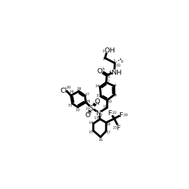 C[C@@H](CO)NC(=O)c1ccc(CN(C2CCCCC2C(F)(F)F)S(=O)(=O)c2ccc(Cl)cc2)cc1